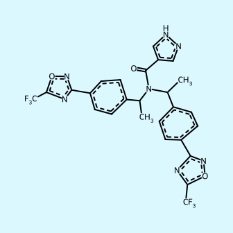 CC(c1ccc(-c2noc(C(F)(F)F)n2)cc1)N(C(=O)c1cn[nH]c1)C(C)c1ccc(-c2noc(C(F)(F)F)n2)cc1